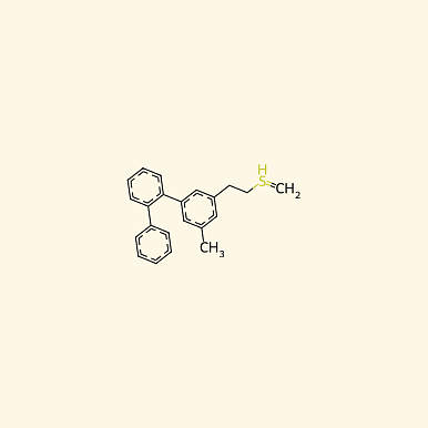 C=[SH]CCc1cc(C)cc(-c2ccccc2-c2ccccc2)c1